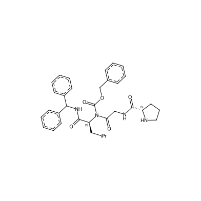 CC(C)C[C@@H](C(=O)NC(c1ccccc1)c1ccccc1)N(C(=O)CNC(=O)[C@@H]1CCCN1)C(=O)OCc1ccccc1